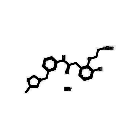 Br.CCCCCCCCCCCCOc1c(Cl)cccc1CC(=O)Nc1cccc(CN2C=C(C)SC2)c1